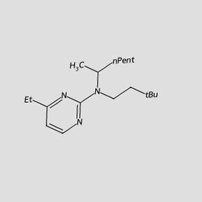 CCCCCC(C)N(CCC(C)(C)C)c1nccc(CC)n1